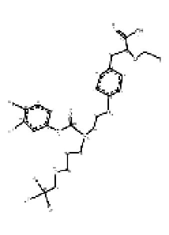 CCOC(Cc1ccc(OCCN(CCCOCC(F)(F)F)C(=O)Oc2ccc(F)c(F)c2)cc1)C(=O)O